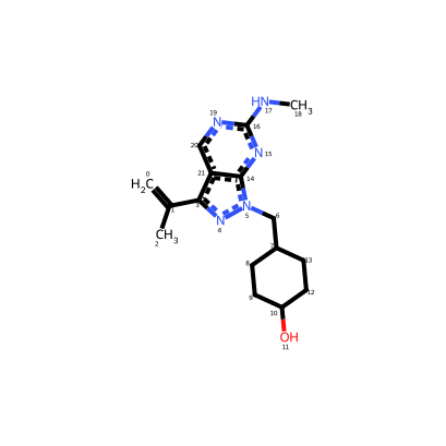 C=C(C)c1nn(CC2CCC(O)CC2)c2nc(NC)ncc12